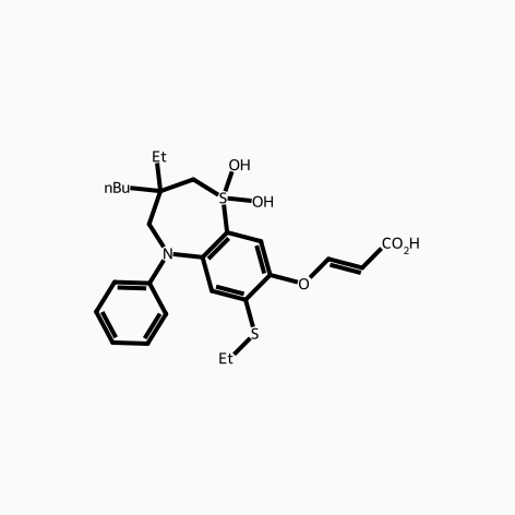 CCCCC1(CC)CN(c2ccccc2)c2cc(SCC)c(OC=CC(=O)O)cc2S(O)(O)C1